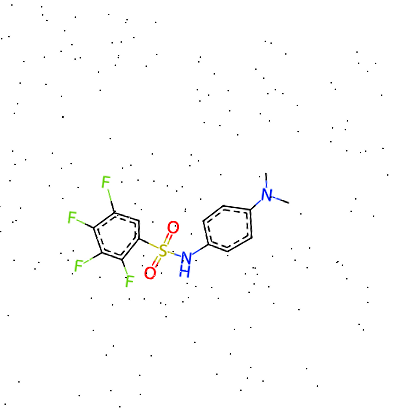 CN(C)c1ccc(NS(=O)(=O)c2cc(F)c(F)c(F)c2F)cc1